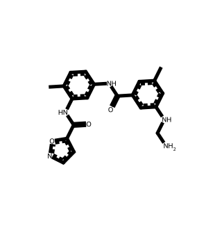 Cc1cc(NCN)cc(C(=O)Nc2ccc(C)c(NC(=O)c3ccno3)c2)c1